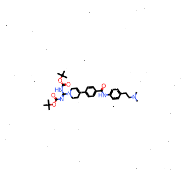 CN(C)CCc1ccc(NC(=O)c2ccc(C3=CCN(C(=NC(=O)OC(C)(C)C)NC(=O)OC(C)(C)C)CC3)cc2)cc1